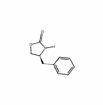 O=C1OC[C@H](Cc2ccccc2)N1I